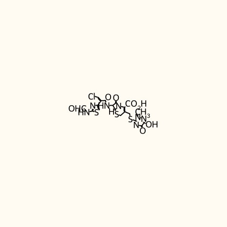 Cn1nc(O)c(=O)nc1SCC1=C(C(=O)O)N2C(=O)C(NC(=O)/C(=C/Cl)c3csc(NC=O)n3)[C@H]2SC1